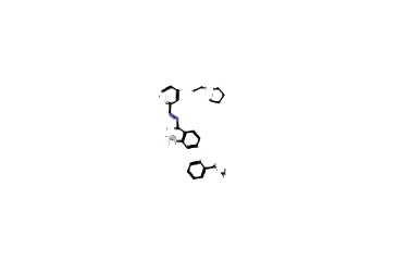 CNC(=O)c1ccccc1Sc1ccc2c(/C=C/c3cc(OCCN4CCCC4)ccn3)n[nH]c2c1